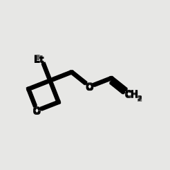 C=COCC1(CC)COC1